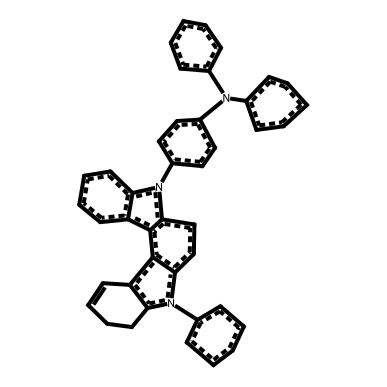 C1=Cc2c(n(-c3ccccc3)c3ccc4c(c5ccccc5n4-c4ccc(N(c5ccccc5)c5ccccc5)cc4)c23)CC1